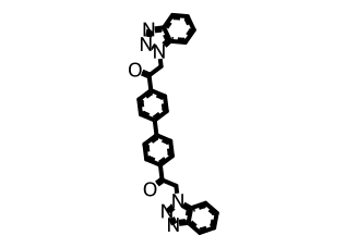 O=C(Cn1nnc2ccccc21)c1ccc(-c2ccc(C(=O)Cn3nnc4ccccc43)cc2)cc1